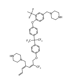 C=C/C=C(\C=C(/COc1ccc(C(c2ccc(Oc3ccc(CN4CCNCC4)cc3C(C)(F)F)cc2)(C(F)(F)F)C(F)(F)F)cc1)C(F)(F)F)CN1CCNCC1